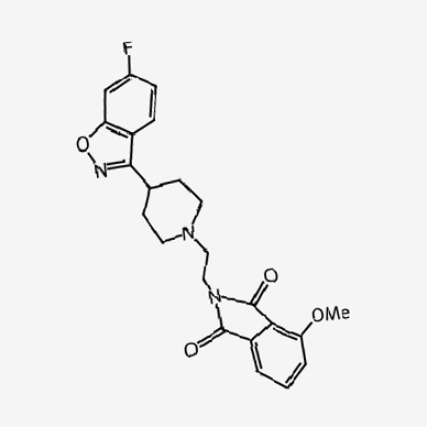 COc1cccc2c1C(=O)N(CCN1CCC(c3noc4cc(F)ccc34)CC1)C2=O